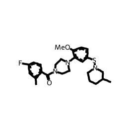 COc1ccc(SN2CCCC(C)C2)cc1N1CCN(C(=O)c2ccc(F)cc2C)CC1